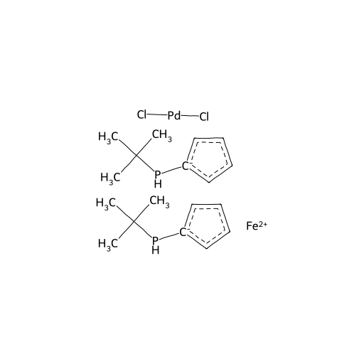 CC(C)(C)P[c-]1cccc1.CC(C)(C)P[c-]1cccc1.[Cl][Pd][Cl].[Fe+2]